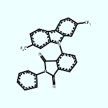 O=C1c2cccc(-n3c4cc(C(F)(F)F)ccc4c4ccc(C(F)(F)F)cc43)c2C(=O)N1c1ccccc1